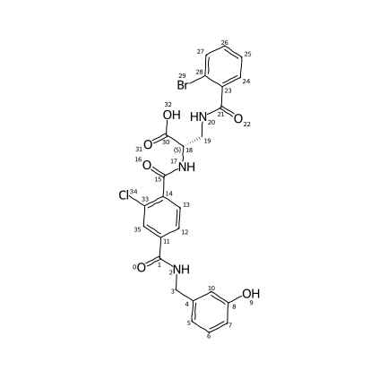 O=C(NCc1cccc(O)c1)c1ccc(C(=O)N[C@@H](CNC(=O)c2ccccc2Br)C(=O)O)c(Cl)c1